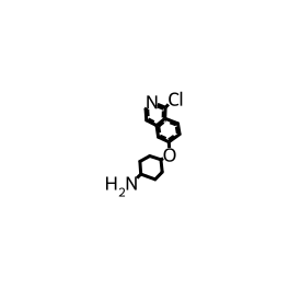 NC1CCC(Oc2ccc3c(Cl)nccc3c2)CC1